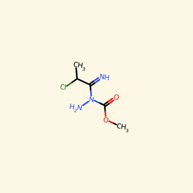 COC(=O)N(N)C(=N)C(C)Cl